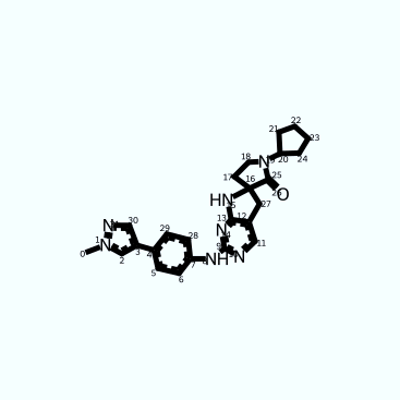 Cn1cc(-c2ccc(Nc3ncc4c(n3)NC3(CCN(C5CCCC5)C3=O)C4)cc2)cn1